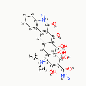 CN(C)[C@@H]1C(O)=C(C(N)=O)C(=O)[C@@]2(O)C(O)=C3C(=O)c4c(c5c([nH]c4=O)CCC=C5)CC3CC12